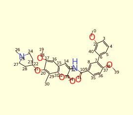 COc1cccc(-c2cc(C(=O)Nc3cc4cc(OC)c(OC5CCN(C)CC5)c(C)c4oc3=O)ccc2OC)c1